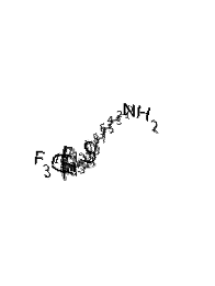 NCCCCCCCCCSCCCC(F)(F)C(F)(F)F